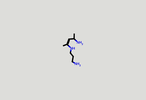 C/C(=C/C(C)N)NCCCN